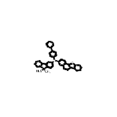 CC1(C)c2ccccc2-c2cc(N(c3ccc(-c4ccccc4)cc3)c3ccc4c(ccc5c6ccccc6sc45)c3)ccc21